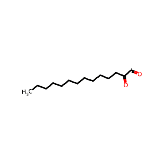 CCCCCCCCCCCCC(=O)[C]=O